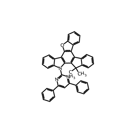 CC1(C)c2ccccc2-c2c1c1c(c3ccccc3n1-c1nc(-c3ccccc3)cc(-c3ccccc3)n1)c1oc3ccccc3c21